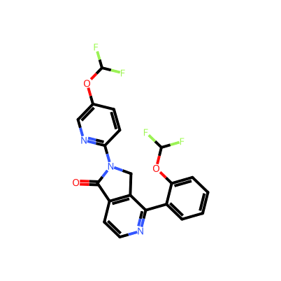 O=C1c2ccnc(-c3ccccc3OC(F)F)c2CN1c1ccc(OC(F)F)cn1